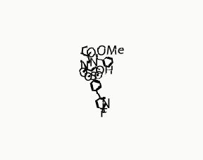 COCC(c1ccccc1)n1c(C2CCCO2)nc(=O)c(S(=O)(=O)c2ccc(-c3ccc(F)nc3)cc2)c1O